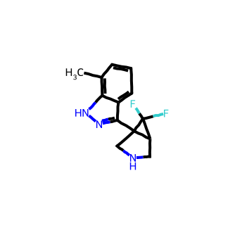 Cc1cccc2c(C34CNCC3C4(F)F)n[nH]c12